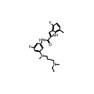 CCN(C)CCCN(C)c1cc(F)cc(NC(=O)c2cc3c(F)ccc(C)c3[nH]2)c1